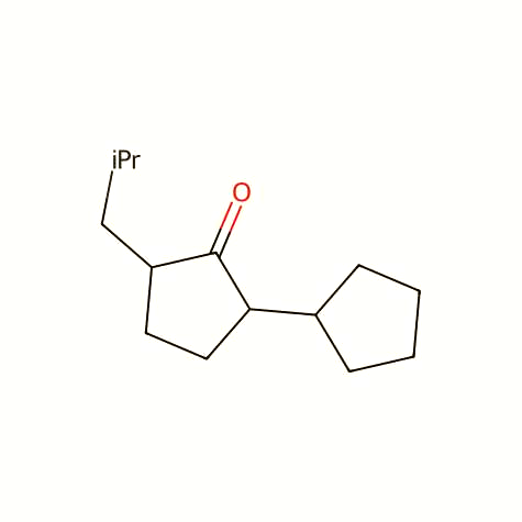 CC(C)CC1CCC(C2CCCC2)C1=O